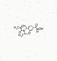 C[C@H]1COC2=CC(C(=O)NO)CC=C2CN1C(=O)N(C)C